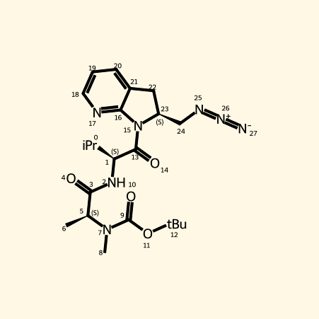 CC(C)[C@H](NC(=O)[C@H](C)N(C)C(=O)OC(C)(C)C)C(=O)N1c2ncccc2C[C@H]1CN=[N+]=[N-]